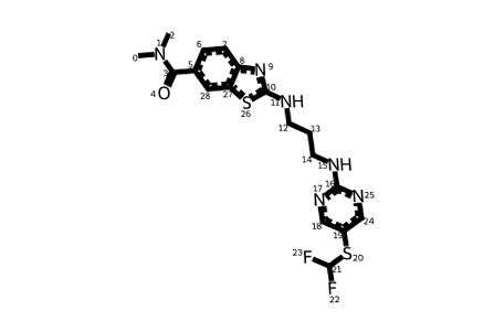 CN(C)C(=O)c1ccc2nc(NCCCNc3ncc(SC(F)F)cn3)sc2c1